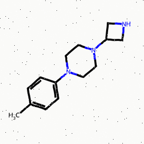 Cc1ccc(N2CCN(C3CNC3)CC2)cc1